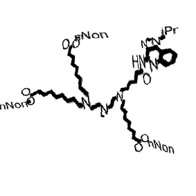 CCCCCCCCCOC(=O)CCCCCCCCN(CCCCCCCCC(=O)OCCCCCCCCC)CCN(C)CCN(CCCCCCCCC(=O)OCCCCCCCCC)CCCCCC(=O)Nc1nc2ccccc2c2c1ncn2CC(C)C